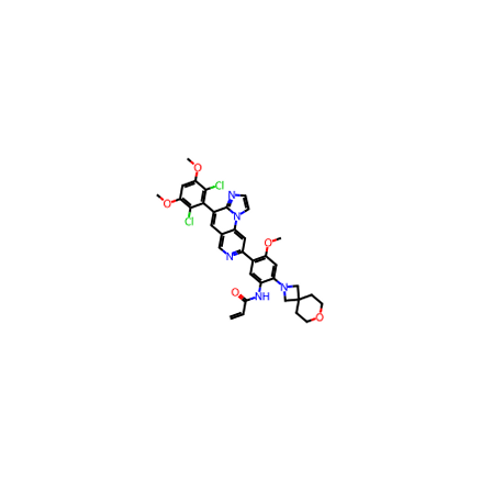 C=CC(=O)Nc1cc(-c2cc3c(cn2)cc(-c2c(Cl)c(OC)cc(OC)c2Cl)c2nccn23)c(OC)cc1N1CC2(CCOCC2)C1